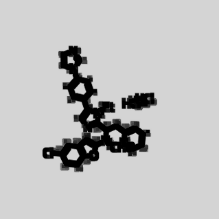 CCn1c(-c2ccc(-n3ccnc3)cc2)cnc1C(Cc1ccccn1)N(C=O)c1cc2cc(Cl)ccc2o1.Cl.Cl.Cl